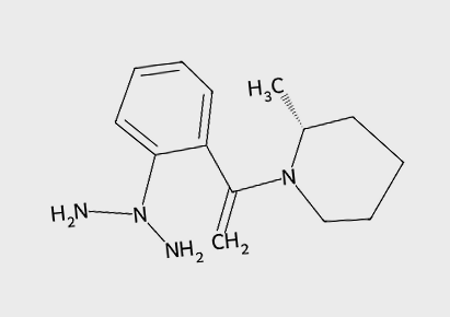 C=C(c1ccccc1N(N)N)N1CCCC[C@H]1C